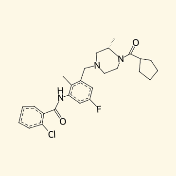 Cc1c(CN2CCN(C(=O)C3CCCC3)[C@@H](C)C2)cc(F)cc1NC(=O)c1ccccc1Cl